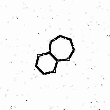 C1CCC2OCCOC2OC1